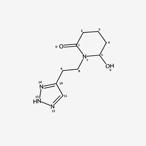 O=C1CCCC(O)N1CCc1cn[nH]n1